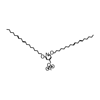 CCCCCC=CCC=CCCCCCCCCOc1cc(COS(C)(=O)=O)cc(OCCCCCCCCC=CCC=CCCCCC)n1